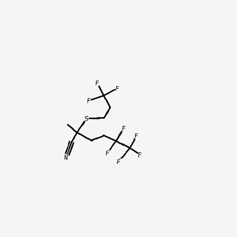 CC(C#N)(CCC(F)(F)C(F)(F)F)SCCC(F)(F)F